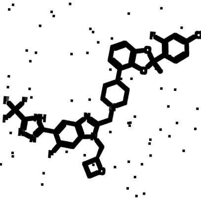 CC1(c2ccc(Cl)cc2F)Oc2cccc(C3CCN(Cc4nc5cc(-c6nnc(C(F)(F)F)[nH]6)c(F)cc5n4C[C@@H]4CCO4)CC3)c2O1